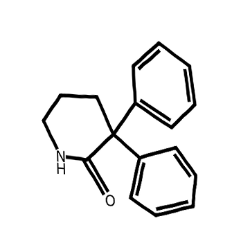 O=C1NCCCC1(c1ccccc1)c1ccccc1